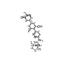 CN(c1ccc(-c2c(O)cc(-c3cnn(C)c(=O)c3)cc2F)nn1)[C@@H]1C[C@]2(C)CC[C@](C)(C1)N2